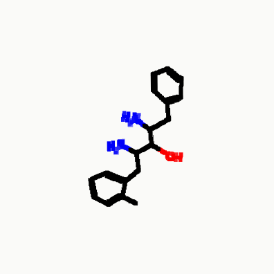 Cc1ccccc1CC(N)C(O)C(N)Cc1ccccc1